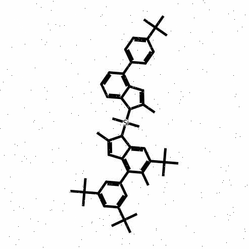 CC1=Cc2c(-c3ccc(C(C)(C)C)cc3)cccc2C1[Si](C)(C)C1C(C)=Cc2c1cc(C(C)(C)C)c(C)c2-c1cc(C(C)(C)C)cc(C(C)(C)C)c1